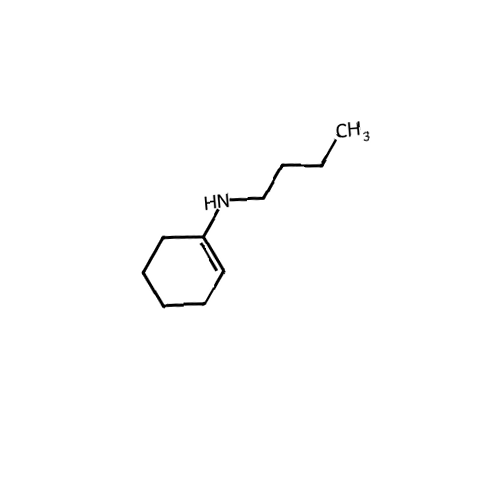 CCCCNC1=CCCCC1